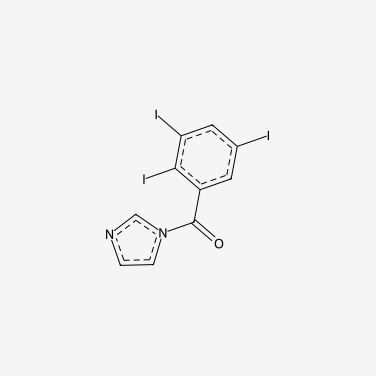 O=C(c1cc(I)cc(I)c1I)n1ccnc1